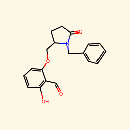 O=Cc1c(O)cccc1OCC1CCC(=O)N1Cc1ccccc1